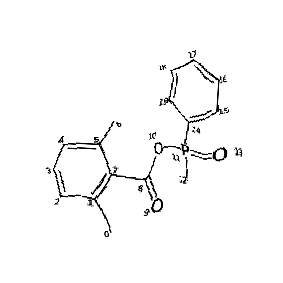 Cc1cccc(C)c1C(=O)OP(C)(=O)c1ccccc1